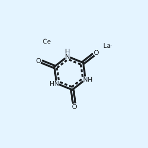 O=c1[nH]c(=O)[nH]c(=O)[nH]1.[Ce].[La]